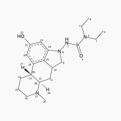 CCN(CC)C(=O)NN1CC2C[C@@H]3[C@H](CCCN3C)c3cc(O)cc1c32